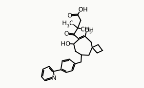 CC(C)(CC(=O)O)C(=O)/C1=C(\O)CC2(CCC2)CC(Cc2ccc(-c3ccccn3)cc2)CC1O